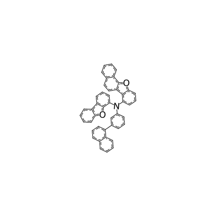 c1cc(-c2cccc3ccccc23)cc(N(c2cccc3c2oc2ccccc23)c2cccc3oc4c5ccccc5ccc4c23)c1